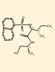 CC[C@H](C)[C@H](NS(=O)(=O)c1cccc2ccccc12)C(=O)N[C@@H](C)CO